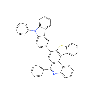 c1ccc(-c2nc3ccccc3c3c2cc(-c2ccc4c(c2)c2ccccc2n4-c2ccccc2)c2sc4ccccc4c23)cc1